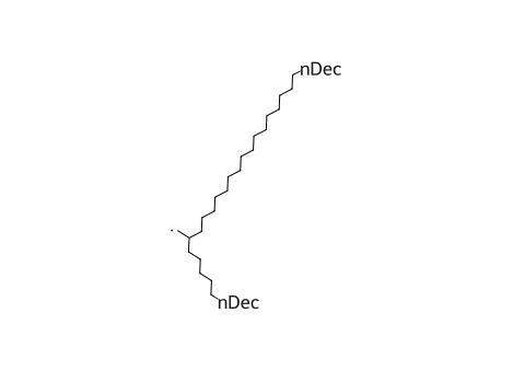 [CH2]C(CCCCCCCCCCCCCCC)CCCCCCCCCCCCCCCCCCCCCCCCCC